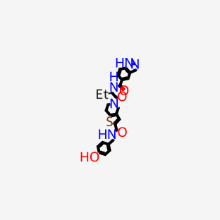 CC[C@@H](NC(=O)c1ccc2[nH]ncc2c1)C(=O)N1CCc2sc(C(=O)NCc3ccc(O)cc3)cc2C1